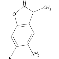 CC1NOc2cc(F)c(N)cc21